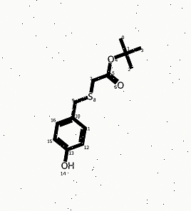 CC(C)(C)OC(=O)CSCc1ccc(O)cc1